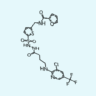 O=C(CCCNc1ncc(C(F)(F)F)cc1Cl)NNS(=O)(=O)c1ccc(CNC(=O)c2ccco2)s1